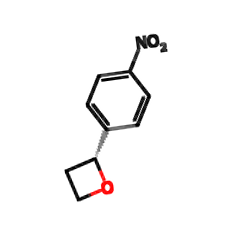 O=[N+]([O-])c1ccc([C@H]2CCO2)cc1